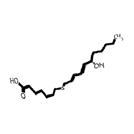 CCCCC[C@H](O)C=CC=CCSC/C=C\CCCC(=O)O